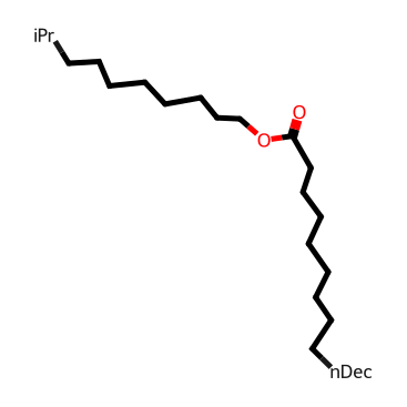 CCCCCCCCCCCCCCCCCCC(=O)OCCCCCCCCC(C)C